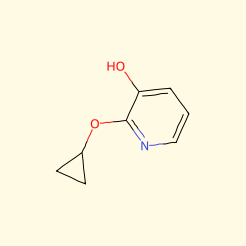 Oc1cccnc1OC1CC1